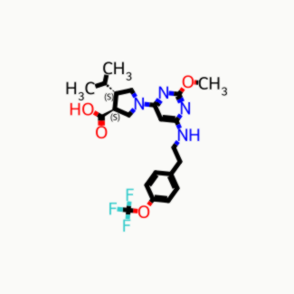 COc1nc(NCCc2ccc(OC(F)(F)F)cc2)cc(N2C[C@@H](C(=O)O)[C@H](C(C)C)C2)n1